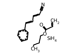 C=CC(=O)OCCCC.N#CC=CC=Cc1ccccc1.[SiH4]